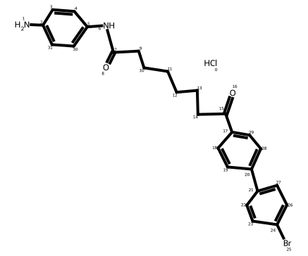 Cl.Nc1ccc(NC(=O)CCCCCCC(=O)c2ccc(-c3ccc(Br)cc3)cc2)cc1